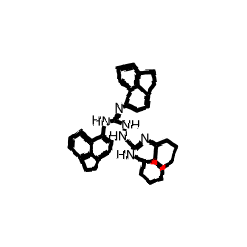 c1cc2c3c(ccc(N=C(NNC(=NC4CCCCC4)NC4CCCCC4)Nc4ccc5c6c(cccc46)CC5)c3c1)CC2